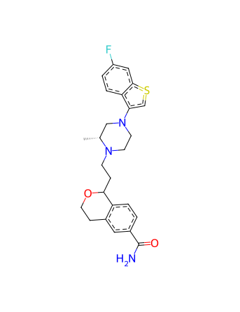 C[C@@H]1CN(c2csc3cc(F)ccc23)CCN1CCC1OCCc2cc(C(N)=O)ccc21